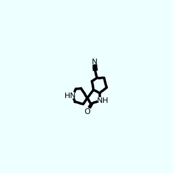 N#CC1CCC2NC(=O)C3(CCNCC3)C2C1